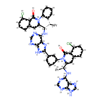 CC(C)C[C@H](Nc1ncnc2[nH]c(-c3cccc(-n4c([C@@H](Nc5ncnc6[nH]cnc56)C(C)C)cc5cccc(Cl)c5c4=O)c3)nc12)c1cc2cccc(Cl)c2c(=O)n1-c1ccccc1